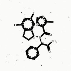 Cc1ncsc1C(=O)N([C@@H]1CCc2c(F)cc(F)cc21)[C@@H](C(N)=O)c1ccccc1